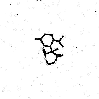 CC1CCC(C(C)C)C(C2(C)C(=O)OCOC2=O)C1